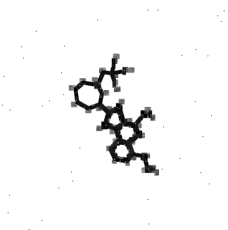 COc1cccc2c1nc(N)n1nc(C3CCCCN(CC(F)(F)F)C3)nc21